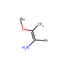 CCC(C)O/C(=C(\N)C(C)C)C(F)(F)F